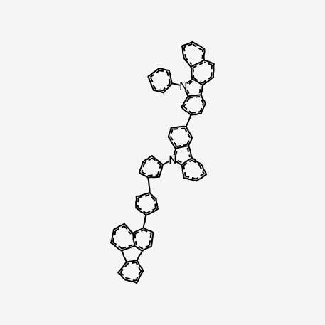 c1ccc(-n2c3cc(-c4ccc5c(c4)c4ccccc4n5-c4cccc(-c5ccc(-c6ccc7c8c(cccc68)-c6ccccc6-7)cc5)c4)ccc3c3ccc4ccccc4c32)cc1